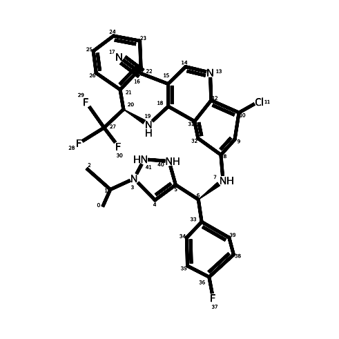 CC(C)N1C=C([C@@H](Nc2cc(Cl)c3ncc(C#N)c(N[C@H](c4ccccc4)C(F)(F)F)c3c2)c2ccc(F)cc2)NN1